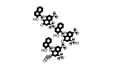 O=C1C=C(S(=O)(=O)O)c2cc([N+](=O)[O-])ccc2/C1=N\Nc1c(O)ccc2ccccc12.O=C1C=C(S(=O)(=O)[O-])c2cc([N+](=O)[O-])ccc2/C1=N\Nc1c(O)ccc2ccccc12.O=C1C=C(S(=O)(=O)[O-])c2cc([N+](=O)[O-])ccc2/C1=N\Nc1c(O)ccc2ccccc12.[Cr].[Cr].[Na+].[Na+]